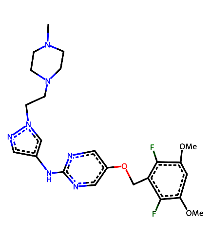 COc1cc(OC)c(F)c(COc2cnc(Nc3cnn(CCN4CCN(C)CC4)c3)nc2)c1F